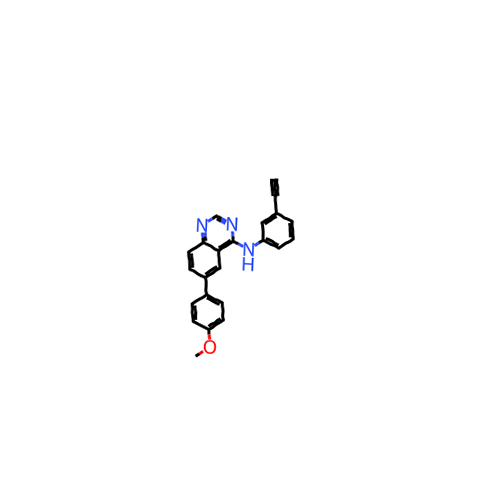 C#Cc1cccc(Nc2ncnc3ccc(-c4ccc(OC)cc4)cc23)c1